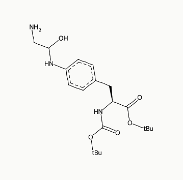 CC(C)(C)OC(=O)N[C@@H](Cc1ccc(NC(O)CN)cc1)C(=O)OC(C)(C)C